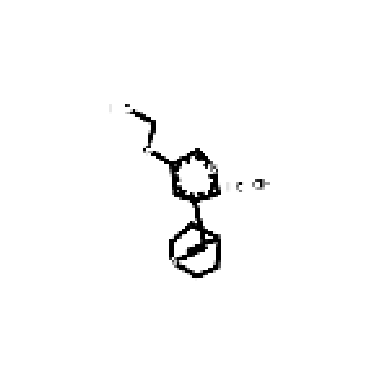 CCOc1cncc(C2=CN3CCC2CC3)c1.Cl.Cl